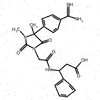 CN1C(=O)N(CC(=O)NC(CC(=O)O)c2ccccc2)C(=O)C1(C)c1ccc(C(=N)N)cc1